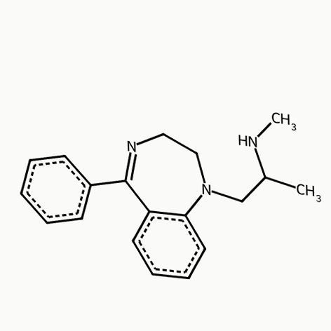 CNC(C)CN1CCN=C(c2ccccc2)c2ccccc21